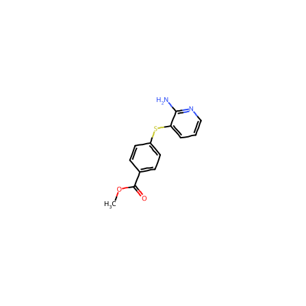 COC(=O)c1ccc(Sc2cccnc2N)cc1